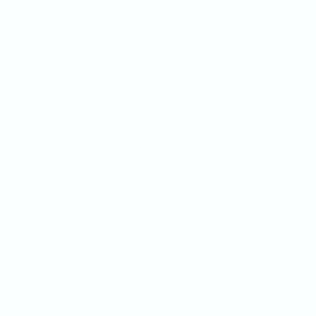 CCO[Si](C)(CCCc1ccccc1)OCC